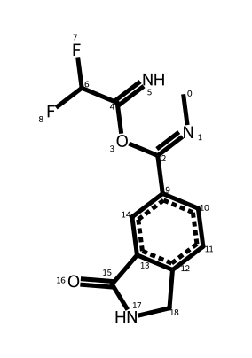 C/N=C(\OC(=N)C(F)F)c1ccc2c(c1)C(=O)NC2